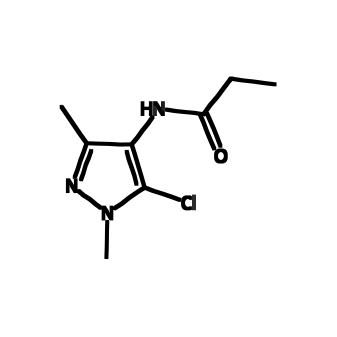 CCC(=O)Nc1c(C)nn(C)c1Cl